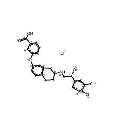 Cl.O=C(O)c1cccc(Oc2ccc3c(c2)C[C@@H](NC[C@@H](O)c2cnc(Cl)c(Cl)c2)CC3)c1